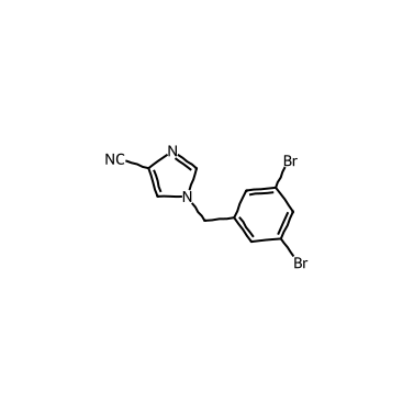 N#Cc1cn(Cc2cc(Br)cc(Br)c2)cn1